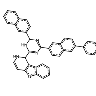 C1=Cc2oc3ccccc3c2C(C2=NC(c3ccc4cc(-c5ccccc5)ccc4c3)=NC(c3ccc4ccccc4c3)N2)N1